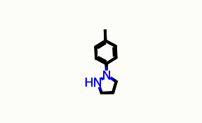 Cc1ccc(N2CCCN2)cc1